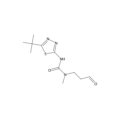 CN(CCC=O)C(=O)Nc1nnc(C(C)(C)C)s1